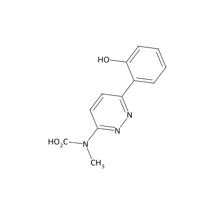 CN(C(=O)O)c1ccc(-c2ccccc2O)nn1